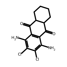 Nc1c(Cl)c(Cl)c(N)c2c1C(=O)C1CCCCC1C2=O